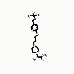 CC(C)[C@H](C)N1CCN(CCCOc2ccc(COC(C)(C)C)cn2)CC1